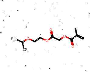 C=C(C)C(=O)OCC(=O)OCCOC(C(F)(F)F)C(F)(F)F